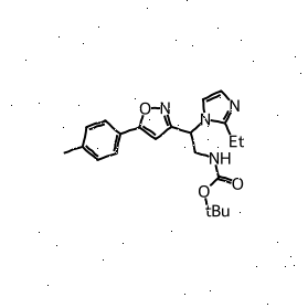 CCc1nccn1C(CNC(=O)OC(C)(C)C)c1cc(-c2ccc(C)cc2)on1